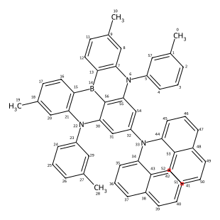 Cc1cccc(N2c3cc(C)ccc3B3c4ccc(C)cc4N(c4cccc(C)c4)c4cc(N(c5cccc6ccccc56)c5cccc6ccccc56)cc2c43)c1